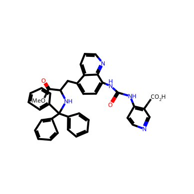 COC(=O)C(Cc1ccc(NC(=O)Nc2ccncc2C(=O)O)c2ncccc12)NC(c1ccccc1)(c1ccccc1)c1ccccc1